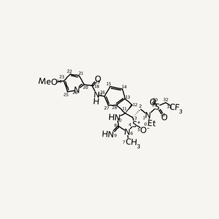 CCN(C[C@@H]1[S+]([O-])N(C)C(=N)N[C@@]12Cc1ccc(NC(=O)c3ccc(OC)cn3)cc12)S(=O)(=O)CC(F)(F)F